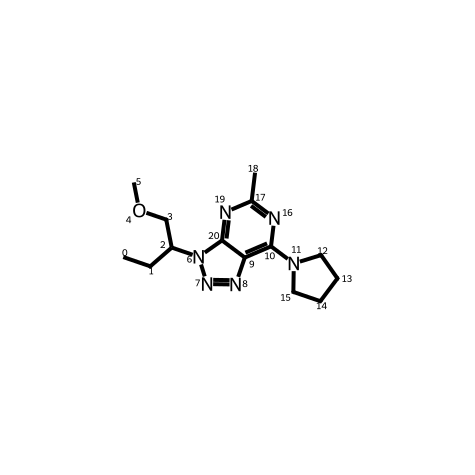 CCC(COC)n1nnc2c(N3CCCC3)nc(C)nc21